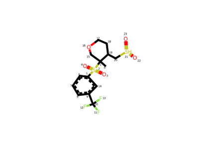 CC1(S(=O)(=O)c2cccc(C(F)(F)F)c2)COCCC1C[SH](=O)=O